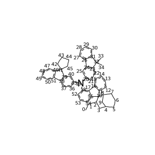 CCC1CC2CCCC(C2)C12c1ccccc1-c1c(N(c3ccc4c(c3)-c3ccccc3C4(C)C)c3ccc4c(c3)C3(CCCC3)c3ccccc3-4)cccc12